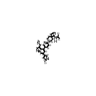 C=NCc1cnn2cc(-c3cnn(C)c3)cc(-c3ccc(N4CCC(CC)(C(=O)NC(C)C)CC4)nc3)c12